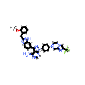 COc1ccccc1Cc1nc2ccc(-c3nn([C@H]4CC[C@@H](N5CCn6cc(C(F)(F)F)nc6C5)CC4)c4ncnc(N)c34)cc2[nH]1